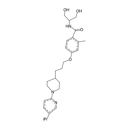 Cc1cc(OCCCC2CCN(c3ccc(C(C)C)cn3)CC2)ccc1C(=O)NC(CO)CO